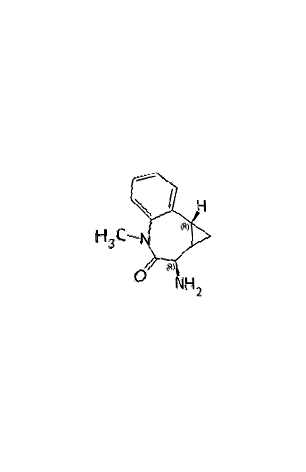 CN1C(=O)[C@H](N)C2C[C@H]2c2ccccc21